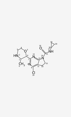 CC1NCCOC1c1nc(Cl)c2c(n1)N(C(=O)NC1CC1)CC2